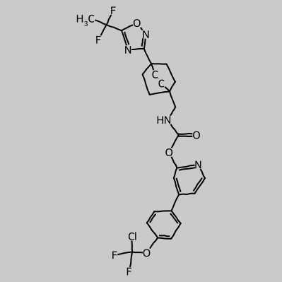 CC(F)(F)c1nc(C23CCC(CNC(=O)Oc4cc(-c5ccc(OC(F)(F)Cl)cc5)ccn4)(CC2)CC3)no1